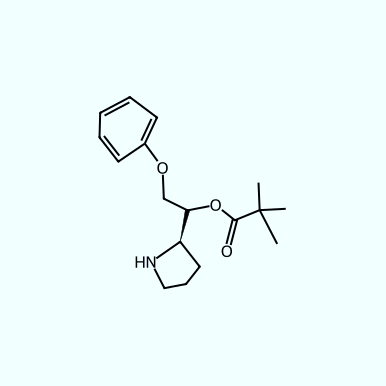 CC(C)(C)C(=O)OC(COc1ccccc1)[C@H]1CCCN1